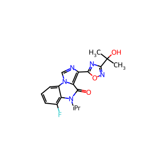 CC(C)n1c(=O)c2c(-c3nc(C(C)(C)O)no3)ncn2c2cccc(F)c21